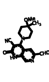 COC1(C)CCN(c2c(C#N)c(=O)[nH]c3cnc(C=O)cc23)CC1